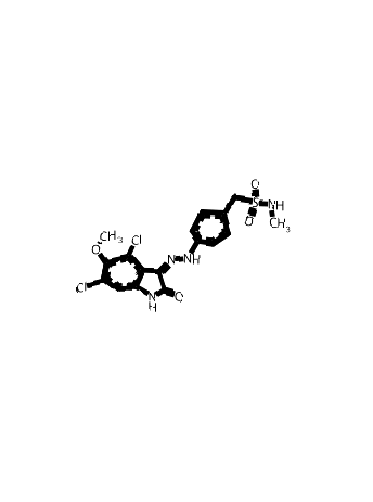 CNS(=O)(=O)Cc1ccc(N/N=C2\C(=O)Nc3cc(Cl)c(OC)c(Cl)c32)cc1